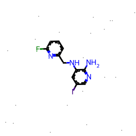 Nc1ncc(I)cc1NCc1cccc(F)n1